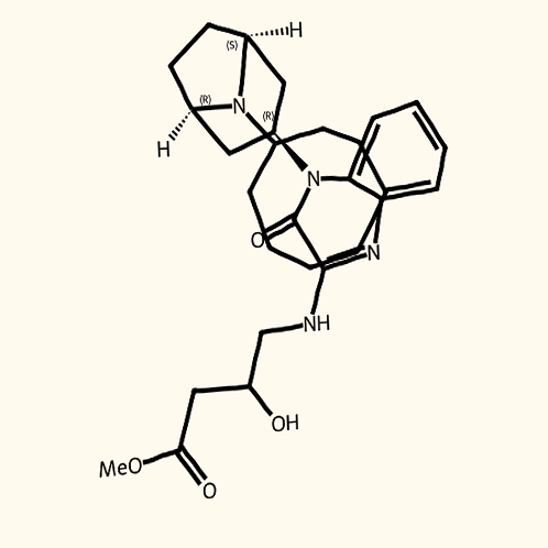 COC(=O)CC(O)CNc1nc2ccccc2n([C@H]2C[C@H]3CC[C@@H](C2)N3C2CCCCCCC2)c1=O